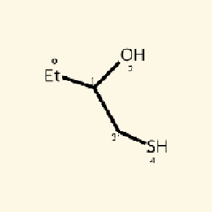 CCC(O)[CH]S